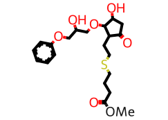 COC(=O)CCCSCCC1C(=O)CC(O)C1OCC(O)COc1ccccc1